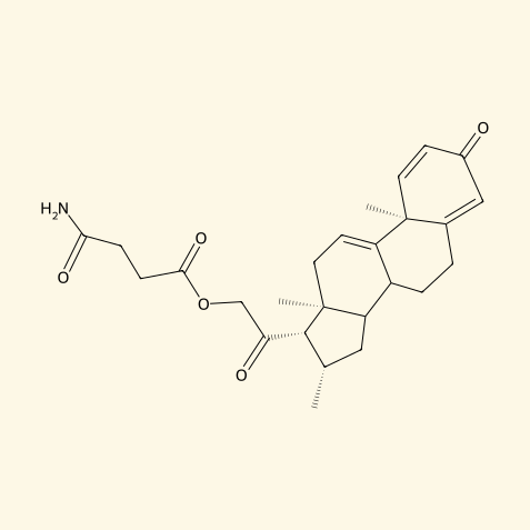 C[C@H]1CC2C3CCC4=CC(=O)C=C[C@]4(C)C3=CC[C@]2(C)[C@H]1C(=O)COC(=O)CCC(N)=O